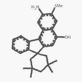 CSc1cc2c(O)cc3c(c2cc1N)-c1ccccc1C31CC(C)(C)CC(C)(C)C1